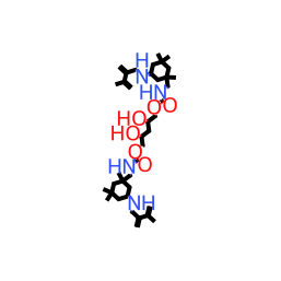 C=C(C)C(=C)CNC1CC(C)(C)CC(C)(CNC(=O)OCC(O)CC(O)COC(=O)NCC2(C)CC(NCC(=C)C(=C)C)CC(C)(C)C2)C1